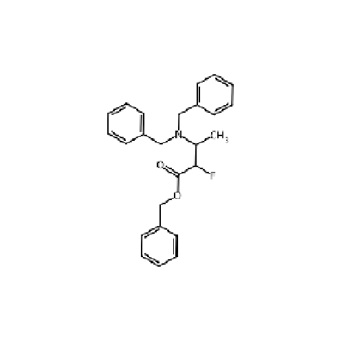 CC(C(F)C(=O)OCc1ccccc1)N(Cc1ccccc1)Cc1ccccc1